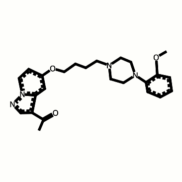 COc1ccccc1N1CCN(CCCCOc2ccn3ncc(C(C)=O)c3c2)CC1